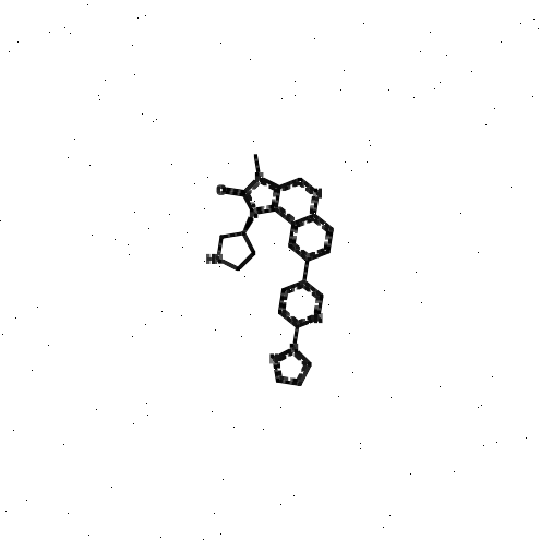 Cn1c(=O)n([C@H]2CCNC2)c2c3cc(-c4ccc(-n5cccn5)nc4)ccc3ncc21